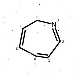 C1=CC=NCC=C1